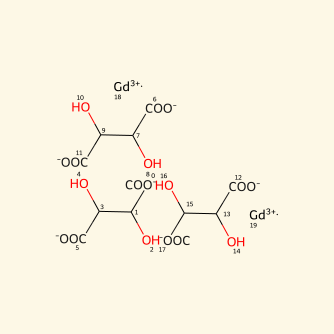 O=C([O-])C(O)C(O)C(=O)[O-].O=C([O-])C(O)C(O)C(=O)[O-].O=C([O-])C(O)C(O)C(=O)[O-].[Gd+3].[Gd+3]